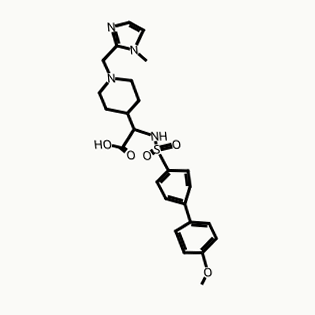 COc1ccc(-c2ccc(S(=O)(=O)NC(C(=O)O)C3CCN(Cc4nccn4C)CC3)cc2)cc1